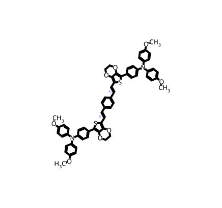 COc1ccc(N(c2ccc(OC)cc2)c2ccc(-c3sc(/C=C/c4ccc(/C=C/c5sc(-c6ccc(N(c7ccc(OC)cc7)c7ccc(OC)cc7)cc6)c6c5OCCO6)cc4)c4c3OCCO4)cc2)cc1